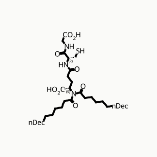 CCCCCCCCCCCCCCCC(=O)N(C(=O)CCCCCCCCCCCCCCC)[C@@H](CCC(=O)N[C@@H](CS)C(=O)NCC(=O)O)C(=O)O